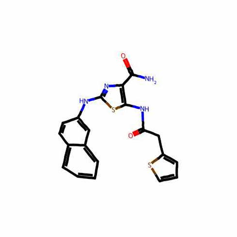 NC(=O)c1nc(Nc2ccc3ccccc3c2)sc1NC(=O)Cc1cccs1